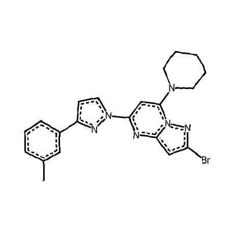 Cc1cccc(-c2ccn(-c3cc(N4CCCCC4)n4nc(Br)cc4n3)n2)c1